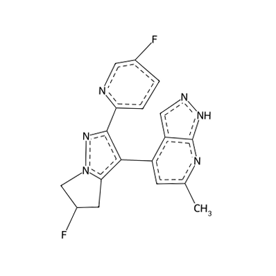 Cc1cc(-c2c(-c3ccc(F)cn3)nn3c2CC(F)C3)c2cn[nH]c2n1